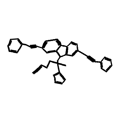 C=CCCC(C)(C1=CC=CC1)C1c2cc(C#Cc3ccccc3)ccc2-c2ccc(C#Cc3ccccc3)cc21